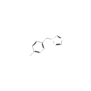 Cl.Clc1ccc(Cn2cncn2)cc1